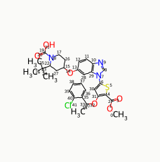 COC(=O)c1sc(-n2cnc3ccc(OC4CCN(C(=O)O)C(C(C)(C)C)C4)cc32)cc1O[C@H](C)c1ccccc1Cl